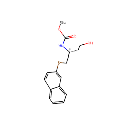 CC(C)(C)OC(=O)N[C@H](CCO)CSc1ccc2ccccc2c1